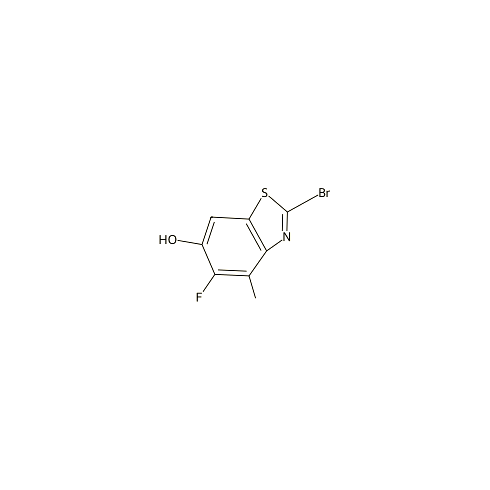 Cc1c(F)c(O)cc2sc(Br)nc12